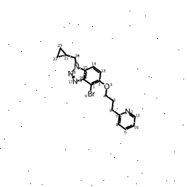 Brc1c(OCCCc2ccccn2)ccc2c1nnn2CC1CC1